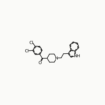 O=C(c1ccc(Cl)c(Cl)c1)C1CCN(CCc2c[nH]c3ccccc23)CC1